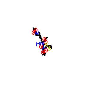 CCOC(=O)[C@H](CCCCC1CCN(C(=O)OC(C)(C)C)CC1)NC1CSC(c2cccs2)CN(CC(=O)OC(C)(C)C)C1=O